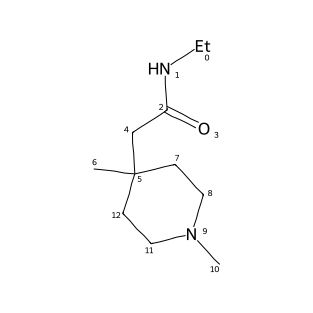 CCNC(=O)CC1(C)CCN(C)CC1